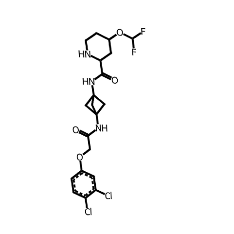 O=C(COc1ccc(Cl)c(Cl)c1)NC12CC(NC(=O)C3CC(OC(F)F)CCN3)(C1)C2